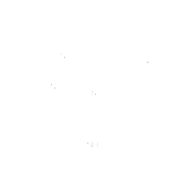 CC(O)CNC1=Nc2ccc(Br)cc2C(/C(N)=C/C=C\CI)=N[C@H]1CCC(=O)O